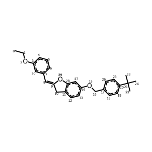 CCOc1cccc(C=C2Cc3ccc(OCc4ccc(C(C)(C)C)cc4)cc3O2)c1